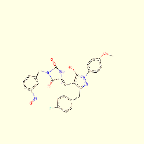 COc1ccc(-n2nc(Cc3ccc(F)cc3)c(/C=C3\NC(=O)N(Cc4cccc(N=O)c4)C3=O)c2O)cc1